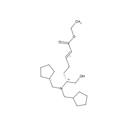 CCOC(=O)/C=C/CC[C@H](CO)N(CC1CCCC1)CC1CCCC1